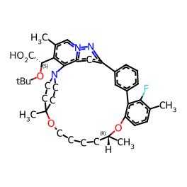 Cc1ccc2c(c1F)-c1cccc(c1)-c1cc3c(c([C@H](OC(C)(C)C)C(=O)O)c(C)cn3n1)N1CCC(C)(CC1)OCCCC[C@@H](C)O2